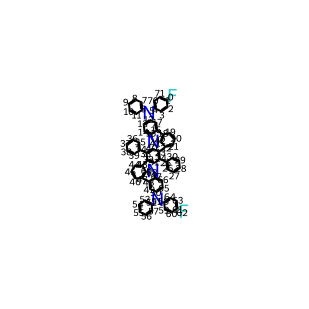 Fc1ccc(N(c2ccccc2)c2ccc3c(c2)c2cccc4c5c(-c6ccccc6)c6c(c(-c7ccccc7)c5n3c24)c2cccc3c4cc(N(c5ccccc5)c5ccc(F)cc5)ccc4n6c32)cc1